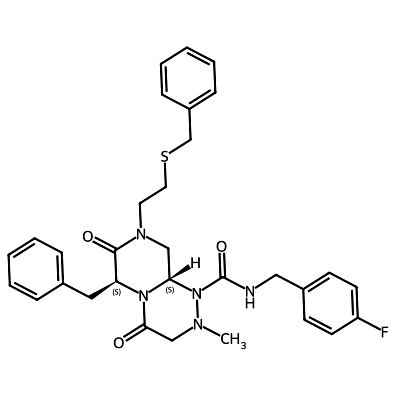 CN1CC(=O)N2[C@@H](Cc3ccccc3)C(=O)N(CCSCc3ccccc3)C[C@@H]2N1C(=O)NCc1ccc(F)cc1